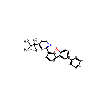 [2H]C([2H])(c1ccnc(-c2cccc3c2oc2ccc(-c4ccccc4)cc23)c1)C(C)C